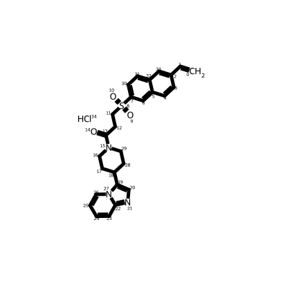 C=Cc1ccc2cc(S(=O)(=O)CCC(=O)N3CCC(c4cnc5ccccn45)CC3)ccc2c1.Cl